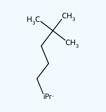 C[C](C)CCCC(C)(C)C